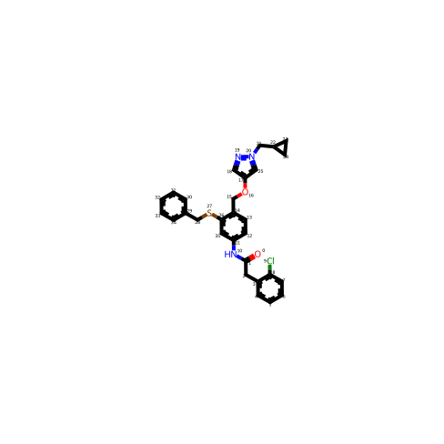 O=C(Cc1ccccc1Cl)Nc1ccc(COc2cnn(CC3CC3)c2)c(SCc2ccccc2)c1